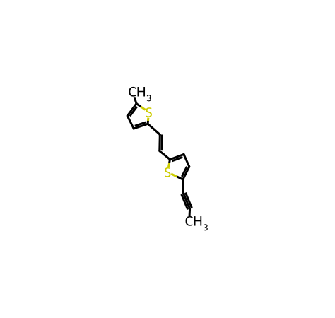 CC#Cc1ccc(/C=C/c2ccc(C)s2)s1